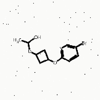 CC(O)OC1CC(Oc2ccc(Br)cn2)C1